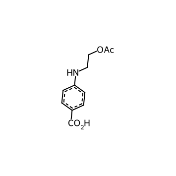 CC(=O)OCCNc1ccc(C(=O)O)cc1